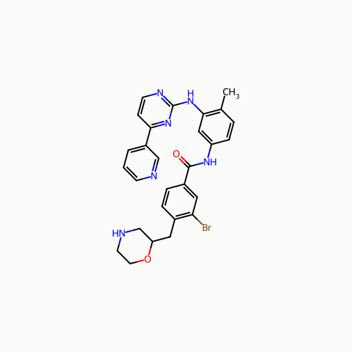 Cc1ccc(NC(=O)c2ccc(CC3CNCCO3)c(Br)c2)cc1Nc1nccc(-c2cccnc2)n1